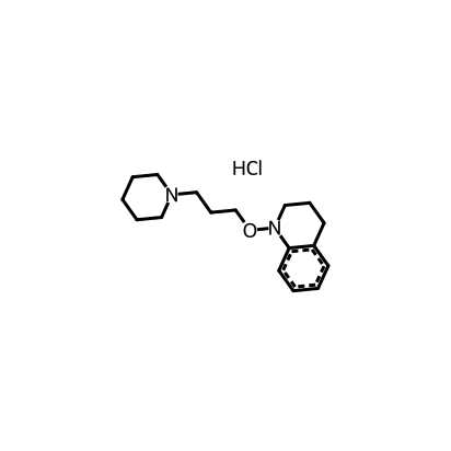 Cl.c1ccc2c(c1)CCCN2OCCCN1CCCCC1